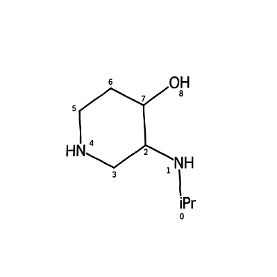 CC(C)NC1CNCCC1O